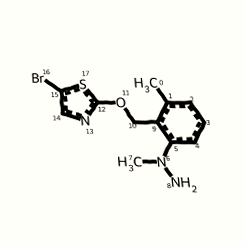 Cc1cccc(N(C)N)c1COc1ncc(Br)s1